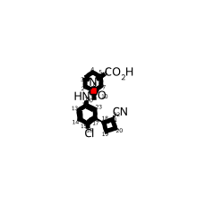 CC1CC2CC(C(=O)O)(C1)N2C(=O)Nc1ccc(Cl)c([C@@H]2CC[C@@H]2C#N)c1